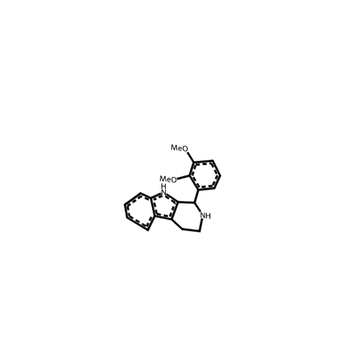 COc1cccc(C2NCCc3c2[nH]c2ccccc32)c1OC